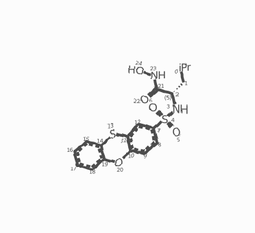 CC(C)C[C@H](NS(=O)(=O)c1ccc2c(c1)Sc1ccccc1O2)C(=O)NO